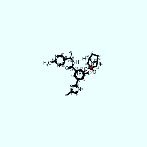 Cc1cnc(-c2cc(O[C@@H]3C[C@H]4CC[C@@H](C3)N4C(=O)OC(C)(C)C)cc(C(=O)N[C@H](C)c3cnc(C(F)(F)F)nc3)c2)s1